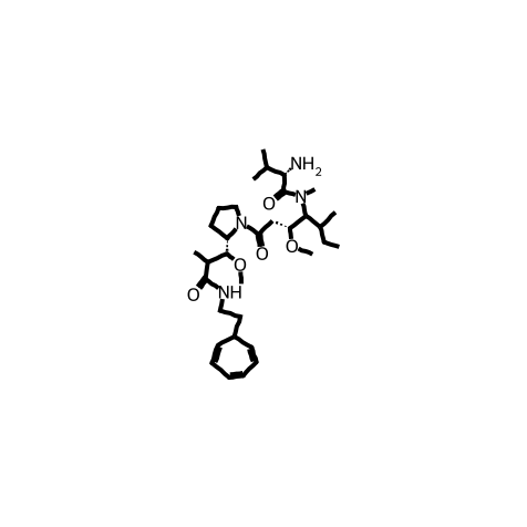 CCC(C)C([C@@H](CC(=O)N1CCC[C@H]1C(OC)C(C)C(=O)NCCC1C=CC=CC=C1)OC)N(C)C(=O)[C@@H](N)C(C)C